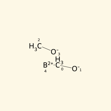 C[O-].C[O-].[B+2]